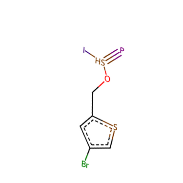 P#[SH](I)OCc1cc(Br)cs1